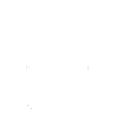 O[C@]1(Cc2ccccc2)CC2CNC[C@H]2C1